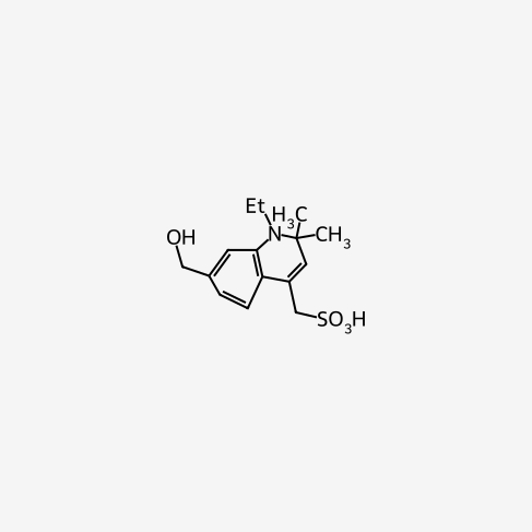 CCN1c2cc(CO)ccc2C(CS(=O)(=O)O)=CC1(C)C